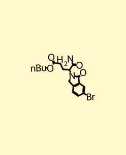 CCCCOC(=O)CCC(C(N)=O)N1Cc2ccc(Br)cc2C1=O